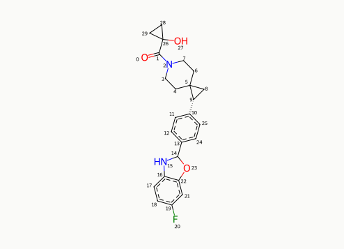 O=C(N1CCC2(CC1)C[C@@H]2c1ccc(C2Nc3ccc(F)cc3O2)cc1)C1(O)CC1